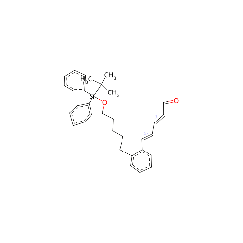 CC(C)(C)[Si](OCCCCCc1ccccc1/C=C/C=C/C=O)(c1ccccc1)c1ccccc1